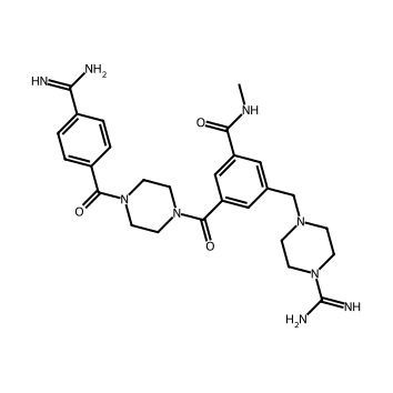 CNC(=O)c1cc(CN2CCN(C(=N)N)CC2)cc(C(=O)N2CCN(C(=O)c3ccc(C(=N)N)cc3)CC2)c1